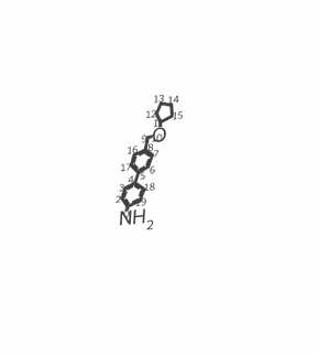 Nc1ccc(-c2ccc(COC3CCCC3)cc2)cc1